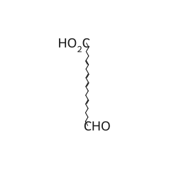 O=CCCCCC=CCCC=CC=CCC=CCCCC(=O)O